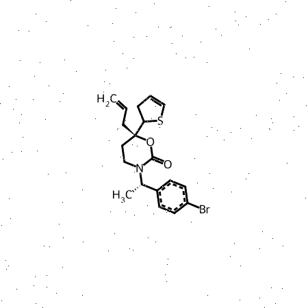 C=CC[C@]1(C2CC=CS2)CCN([C@@H](C)c2ccc(Br)cc2)C(=O)O1